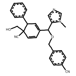 Cn1cncc1C(OCc1ccc(C#N)cc1)C1=CC(c2ccccc2)C(C#N)(CO)C=C1